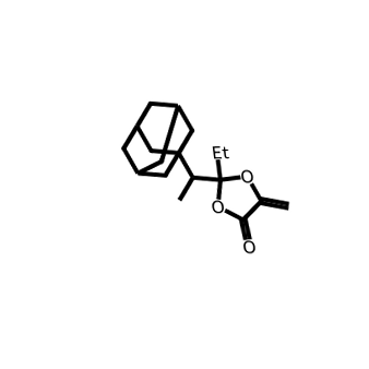 C=C1OC(CC)(C(C)C23CC4CC(CC(C4)C2)C3)OC1=O